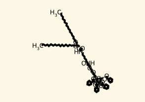 CCCCCCCCCCCCCCCCCCOC[C@@H](COC(=O)NCCCCCC(=O)NCCOCCOCCO[C@H]1OC(COC(=O)c2ccccc2)[C@@H](OC(=O)c2ccccc2)C(OC(=O)c2ccccc2)[C@H]1OC(=O)c1ccccc1)OCCCCCCCCCCCCCCCCCC